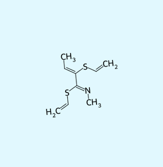 C=CSC(=C\C)/C(=N/C)SC=C